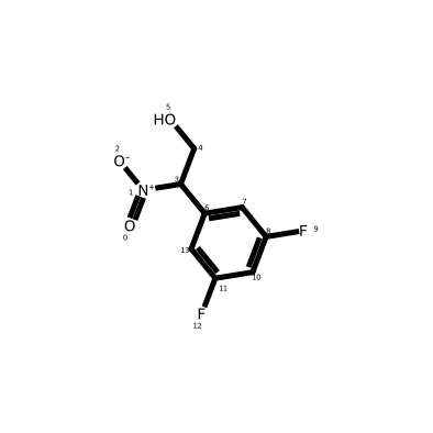 O=[N+]([O-])C(CO)c1cc(F)cc(F)c1